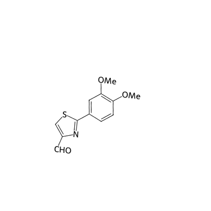 COc1ccc(-c2nc(C=O)cs2)cc1OC